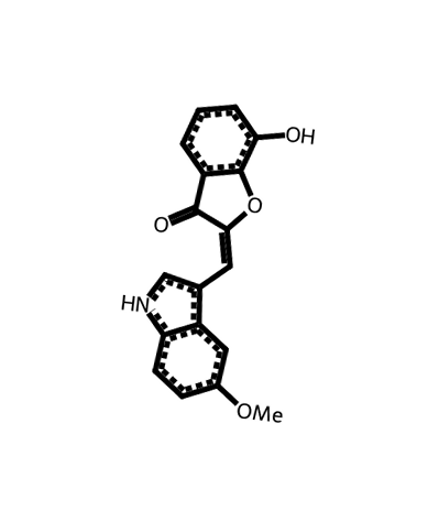 COc1ccc2[nH]cc(C=C3Oc4c(O)cccc4C3=O)c2c1